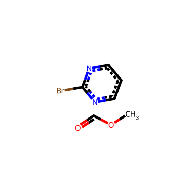 Brc1ncccn1.COC=O